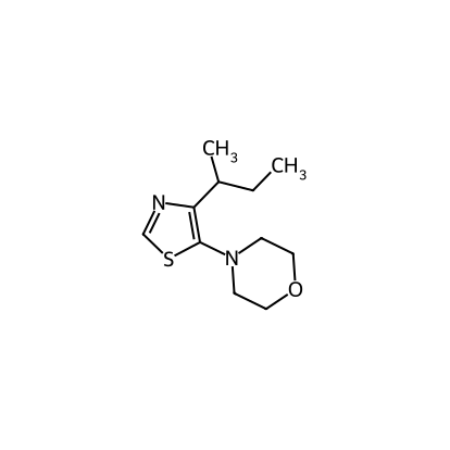 CCC(C)c1ncsc1N1CCOCC1